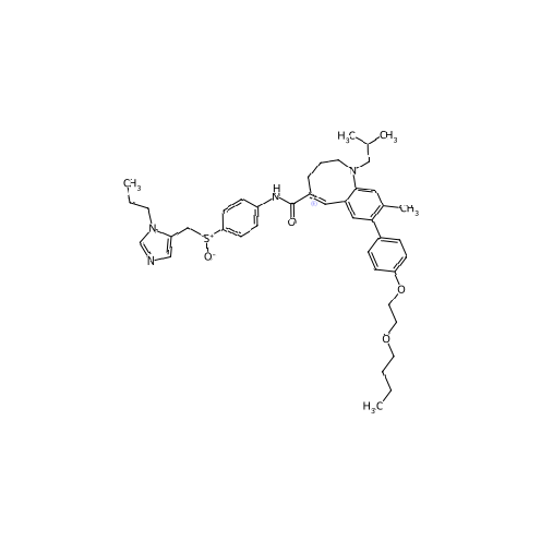 CCCCOCCOc1ccc(-c2cc3c(cc2C)N(CC(C)C)CCC/C(C(=O)Nc2ccc([S+]([O-])Cc4cncn4CCC)cc2)=C\3)cc1